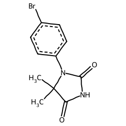 CC1(C)C(=O)NC(=O)N1c1ccc(Br)cc1